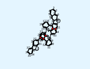 C1=c2ccccc2=CC2c3c(cccc3-c3ccccc3N(c3ccc(-c4ccc5c(c4)oc4ccccc45)cc3)c3ccccc3-n3c4ccccc4c4ccccc43)OC12